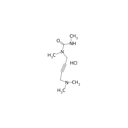 CNC(=O)N(C)CC#CCN(C)C.Cl